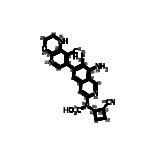 Cc1c(-c2cc3cc(N(C(=O)O)[C@@H]4CC[C@@H]4C#N)ncc3c(N)c2F)cnc2c1NCCO2